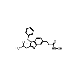 CC(C)Cc1nc2cc(CCC(=O)NO)ccc2n1Cc1ccccc1